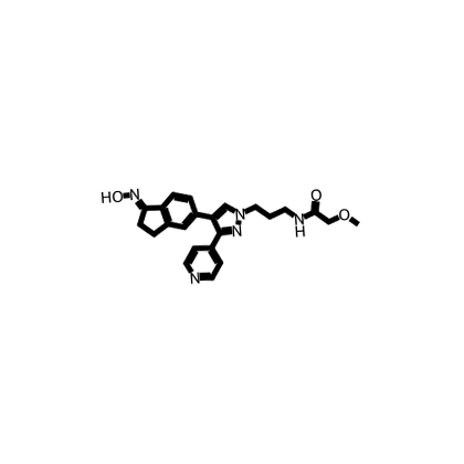 COCC(=O)NCCCn1cc(-c2ccc3c(c2)CC/C3=N\O)c(-c2ccncc2)n1